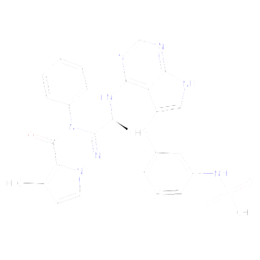 Cc1ccn2nc([C@H](C)Nc3ncnc4[nH]cc(Sc5cccc(NS(C)(=O)=O)c5)c34)n(-c3ccccc3)c(=O)c12